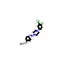 COc1ccc(N=NN2CCN(c3ccc(Cl)c(Cl)c3)CC2)cc1